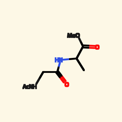 COC(=O)C(C)NC(=O)CNC(C)=O